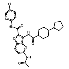 CC(=O)Nc1ccc2oc(C(=O)Nc3ccc(Cl)cn3)c(NC(=O)C3CCC(N4CCCC4)CC3)c2n1